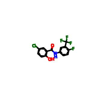 O=C(Nc1ccc(F)c(C(F)(F)F)c1)c1cc(Cl)ccc1O